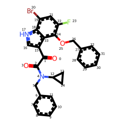 O=C(C(=O)N(Cc1ccccc1)C1CC1)c1c[nH]c2c(Br)cc(F)c(OCc3ccccc3)c12